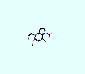 C/C=C\c1c(OC)cc(C)c2c1ccn2C(=O)O